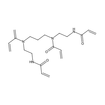 C=CC(=C)N(CCCN(CCNC(=O)C=C)C(=O)C=C)CCNC(=O)C=C